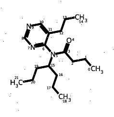 CCCC(=O)N(c1ncncc1CCC)C(CCC)CCC